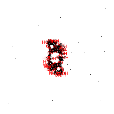 O=C1O[C@@H]2O[C@@H]3COC(=O)c4cc(O)c(O)c(O)c4-c4c(cc(O)c(O)c4O)C(=O)O[C@H]3[C@H](OC(=O)c3cc(O)c(O)c(O)c3)[C@H]2OC(=O)c2cc(O)c(O)c(O)c2Oc2c(O)cc(cc2O)C(=O)O[C@@H]2O[C@@H]3COC(=O)c4cc(O)c(O)c(O)c4-c4c(cc(O)c(O)c4O)C(=O)O[C@H]3[C@H](OC(=O)c3cc(O)c(O)c(O)c3)[C@H]2OC(=O)c2cc(O)c(O)c(O)c2Oc2c(O)cc1cc2O